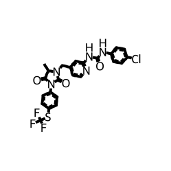 CC1C(=O)N(c2ccc(SC(F)(F)F)cc2)C(=O)N1Cc1ccnc(NC(=O)Nc2ccc(Cl)cc2)c1